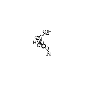 CCC(O)(CC)CCc1csc(NS(=O)(=O)c2ccc(OCCN(C)C)cc2C)n1